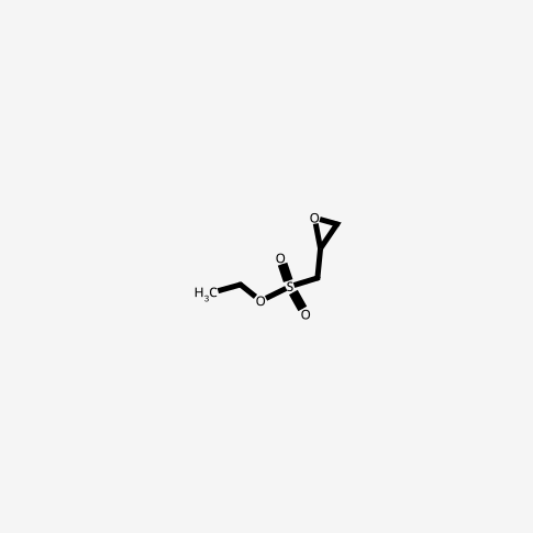 CCOS(=O)(=O)CC1CO1